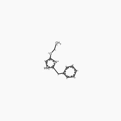 CCOc1c[nH]c(Cc2ccccc2)n1